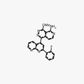 COc1nnc(-c2cc(-c3ccccc3F)nc3ncccc23)c2ccnc(N)c12